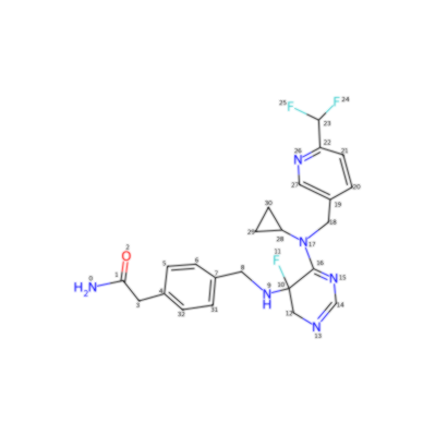 NC(=O)Cc1ccc(CNC2(F)CN=CN=C2N(Cc2ccc(C(F)F)nc2)C2CC2)cc1